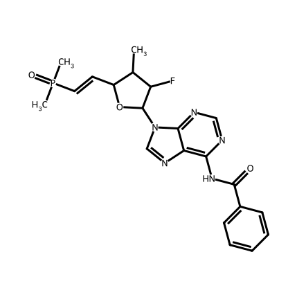 CC1C(/C=C/P(C)(C)=O)OC(n2cnc3c(NC(=O)c4ccccc4)ncnc32)C1F